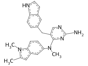 Cc1cc2cc(N(C)c3nc(N)ncc3Cc3ccc4[nH]ccc4c3)ccc2n1C